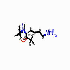 CC(C)(C)N[C@@H](CCCCN)C(=O)C(C)(C)C